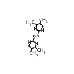 Cc1cnc(SSc2ncc(C)c(C)n2)nc1C